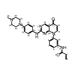 C=CC(=O)Nc1cccc(-n2ccc(=O)c3cnc(Nc4ccc(N5CCN(C)CC5)cc4)nc32)c1